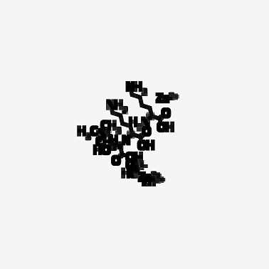 C[N+](C)(C)CC(O)CC(=O)O.Cl.NCCCC[C@H](N)C(=O)O.NCCCC[C@H](N)C(=O)O.[O-2].[O-2].[Zn+2].[Zn+2].[Zn+2]